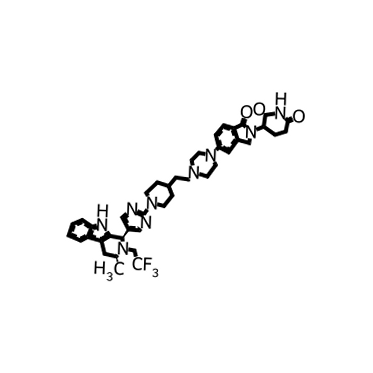 C[C@@H]1Cc2c([nH]c3ccccc23)[C@@H](c2cnc(N3CCC(CCN4CCN(c5ccc6c(c5)CN(C5CCC(=O)NC5=O)C6=O)CC4)CC3)nc2)N1CC(F)(F)F